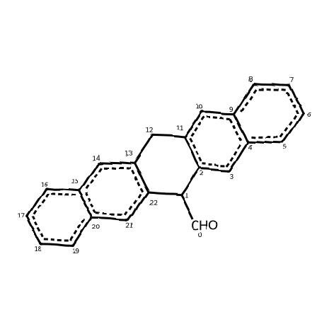 O=CC1c2cc3ccccc3cc2Cc2cc3ccccc3cc21